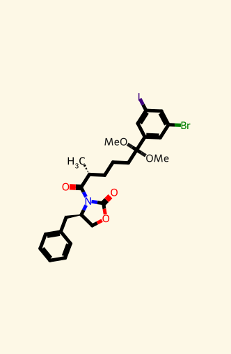 COC(CCC[C@@H](C)C(=O)N1C(=O)OC[C@H]1Cc1ccccc1)(OC)c1cc(Br)cc(I)c1